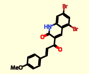 COc1ccc(/C=C/C(=O)c2cc3c(Br)cc(Br)cc3[nH]c2=O)cc1